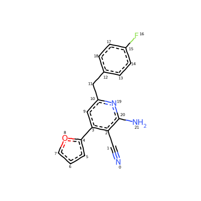 N#Cc1c(-c2ccco2)cc(Cc2ccc(F)cc2)nc1N